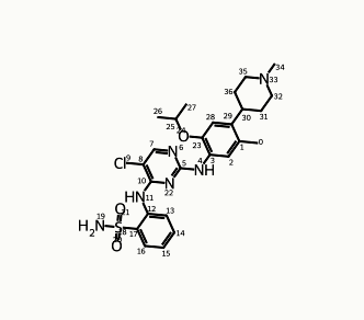 Cc1cc(Nc2ncc(Cl)c(Nc3ccccc3S(N)(=O)=O)n2)c(OC(C)C)cc1C1CCN(C)CC1